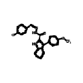 O=C(N/N=C\c1ccc(Cl)cc1)c1[nH]c2ccccc2c1-c1ccc(OC(F)(F)F)cc1